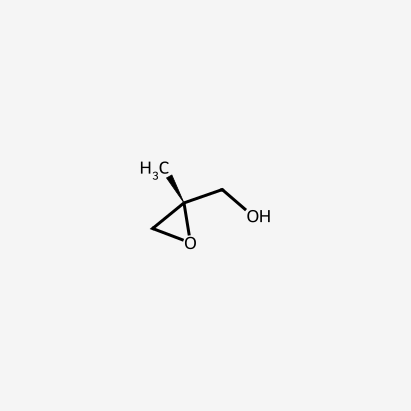 C[C@]1(CO)CO1